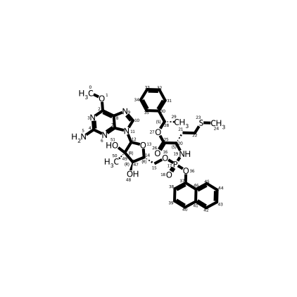 COc1nc(N)nc2c1ncn2C1O[C@H](COP(=O)(N[C@@H](CCSC)C(=O)O[C@@H](C)c2ccccc2)Oc2cccc3ccccc23)[C@@H](O)[C@@]1(C)O